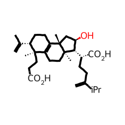 C=C(CC[C@@H](C(=O)O)[C@H]1[C@H](O)C[C@@]2(C)C3=C(CC[C@]12C)[C@@](C)(CCC(=O)O)[C@H](C(=C)C)CC3)C(C)C